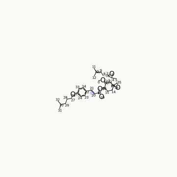 CO[C@H]1[C@H](C2(C)O[C@H]2CC=C(C)C)[C@]2(CC[C@H]1OC(=O)/C=C/c1ccc(OCCCC(C)C)cc1)CO2